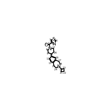 O=C(c1cscn1)N1CCC(c2ccc3c(c2)CCN(C2CCC2)CC3)CC1